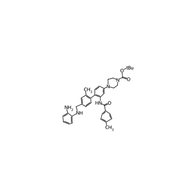 Cc1ccc(C(=O)Nc2cc(N3CCN(C(=O)OC(C)(C)C)CC3)ccc2-c2ccc(CNc3ccccc3N)cc2C)cc1